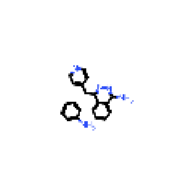 Nc1ccccc1.Nc1nnc(Cc2ccncc2)c2ccccc12